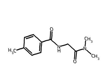 Cc1ccc(C(=O)NCC(=O)N(C)C)cc1